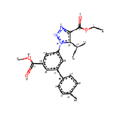 CCOC(=O)c1nnn(-c2cc(C(=O)OC)cc(-c3ccc(C)cc3)c2)c1C(C)C